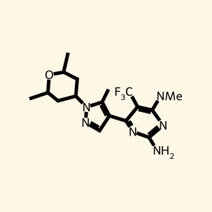 CNc1nc(N)nc(-c2cnn(C3CC(C)OC(C)C3)c2C)c1C(F)(F)F